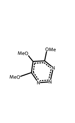 COc1nnnc(OC)c1OC